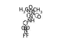 C[C@@H]1C(=O)N(C)c2ccc(Nc3cccc(S(=O)(=O)N4CC(F)(F)C4)c3)nc2N1C1CCOCC1